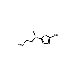 CCN(CCOC)c1nnc(N)s1